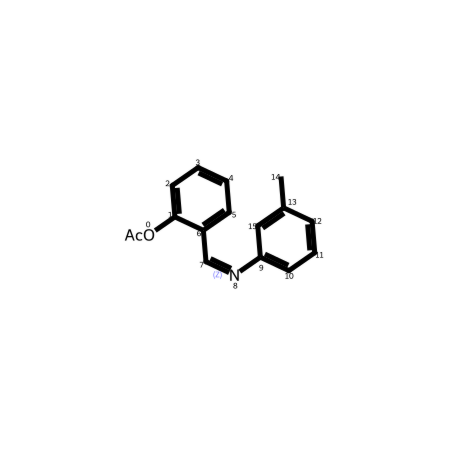 CC(=O)Oc1ccccc1/C=N\c1cccc(C)c1